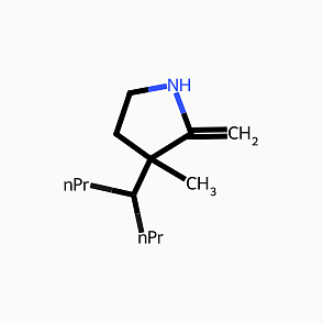 C=C1NCCC1(C)C(CCC)CCC